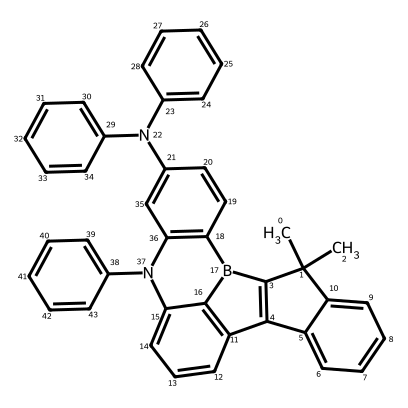 CC1(C)C2=C(c3ccccc31)c1cccc3c1B2c1ccc(N(c2ccccc2)c2ccccc2)cc1N3c1ccccc1